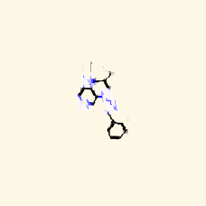 CCC(C#N)=CN(N=Cc1ccccc1)c1cccnc1